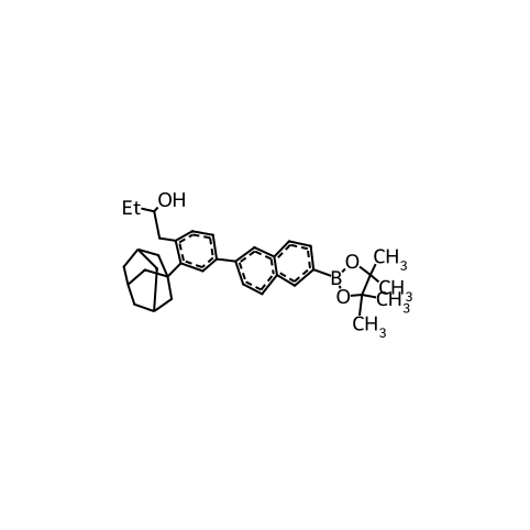 CCC(O)Cc1ccc(-c2ccc3cc(B4OC(C)(C)C(C)(C)O4)ccc3c2)cc1C12CC3CC(CC(C3)C1)C2